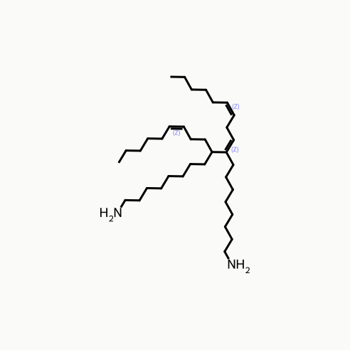 CCCCC/C=C\C/C=C(/CCCCCCCCN)C(CC/C=C\CCCCC)CCCCCCCCN